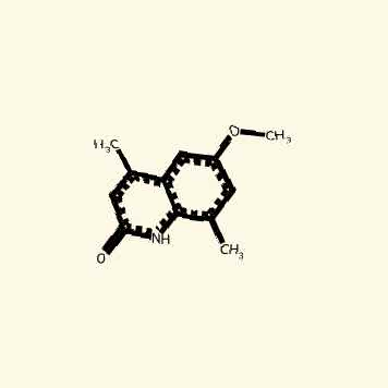 COc1cc(C)c2[nH]c(=O)cc(C)c2c1